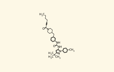 CCCCC#CC(=O)N1CCC(Cc2cccc(NC(=O)Nc3cc(C(C)(C)C)nn3-c3ccc(C)cc3)c2)CC1